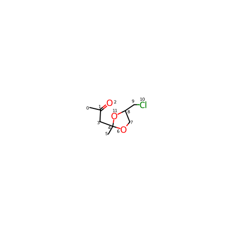 CC(=O)CC1(C)OCC(CCl)O1